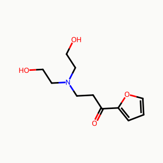 O=C(CCN(CCO)CCO)c1ccco1